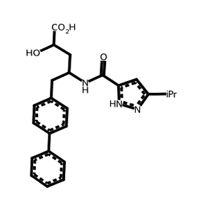 CC(C)c1cc(C(=O)NC(Cc2ccc(-c3ccccc3)cc2)CC(O)C(=O)O)[nH]n1